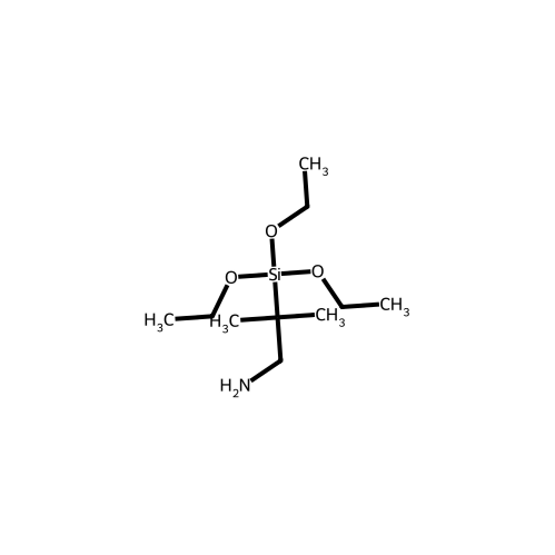 CCO[Si](OCC)(OCC)C(C)(C)CN